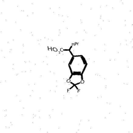 CCCC(C(=O)O)c1ccc2c(c1)OC(F)(F)O2